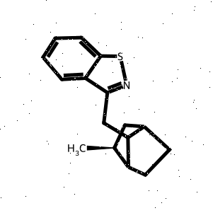 C[C@H]1CC2CCC1C2Cc1nsc2ccccc12